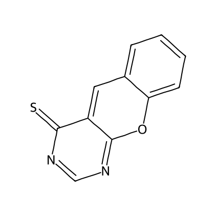 S=c1ncnc2oc3ccccc3cc1-2